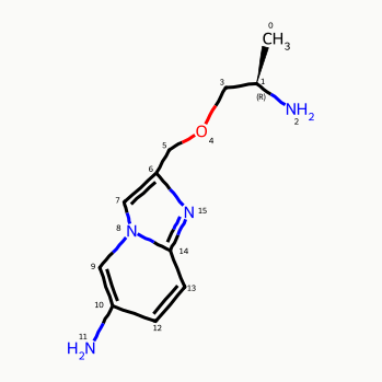 C[C@@H](N)COCc1cn2cc(N)ccc2n1